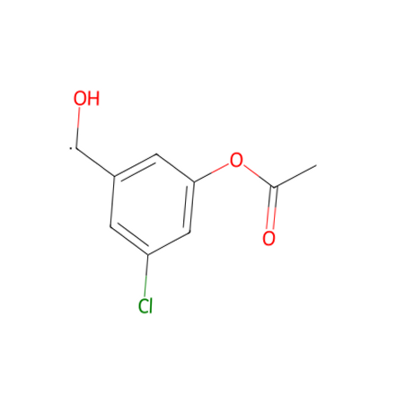 CC(=O)Oc1cc(Cl)cc([CH]O)c1